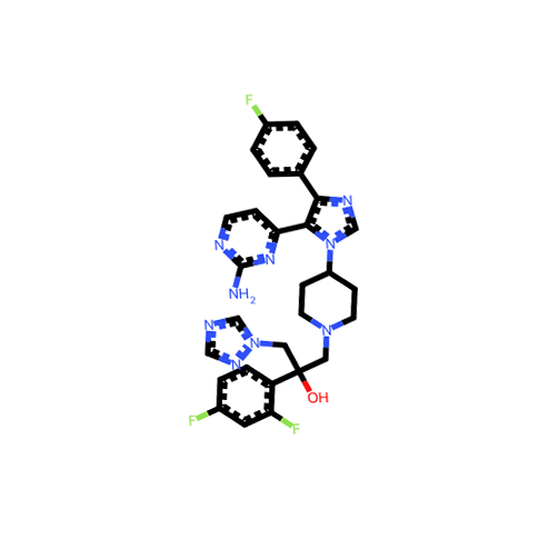 Nc1nccc(-c2c(-c3ccc(F)cc3)ncn2C2CCN(CC(O)(Cn3cncn3)c3ccc(F)cc3F)CC2)n1